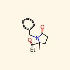 CCC(=O)C1(C)CCC(=O)N1Cc1ccccc1